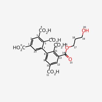 O=C(O)c1cc(C(=O)O)c(C(=O)O)c(-c2cc(C(=O)O)cc(C(=O)OCCCO)c2C(=O)O)c1